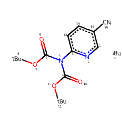 CC[C@H](C)c1nc(N(C(=O)OC(C)(C)C)C(=O)OC(C)(C)C)ccc1C#N